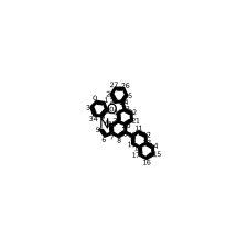 c1ccc(-n2ccc3cc(-c4ccc5ccccc5c4)c4ccc5c6ccccc6oc5c4c32)cc1